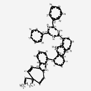 C=CC1(C)C=Cc2oc3c(-c4cccc5c4sc4c(-c6nc(-c7ccccc7)nc(-c7ccccc7)n6)cccc45)cccc3c2C=C1